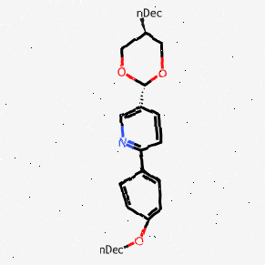 CCCCCCCCCCOc1ccc(-c2ccc([C@H]3OC[C@H](CCCCCCCCCC)CO3)cn2)cc1